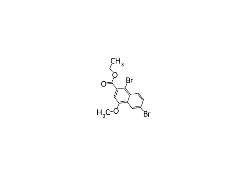 CCOC(=O)c1cc(OC)c2cc(Br)ccc2c1Br